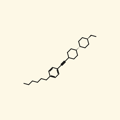 CCCCCCc1ccc(C#CC2CCC([C@H]3CC[C@H](CC)CC3)CC2)cc1